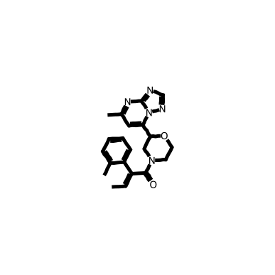 C/C=C(/C(=O)N1CCOC(c2cc(C)nc3ncnn23)C1)c1ccccc1C